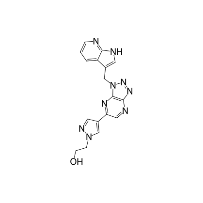 OCCn1cc(-c2cnc3nnn(Cc4c[nH]c5ncccc45)c3n2)cn1